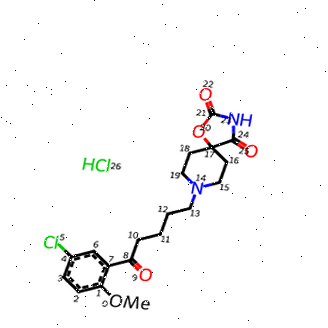 COc1ccc(Cl)cc1C(=O)CCCCN1CCC2(CC1)OC(=O)NC2=O.Cl